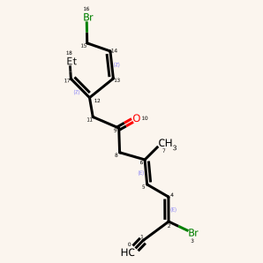 C#C/C(Br)=C\C=C(/C)CC(=O)CC(/C=C\CBr)=C/CC